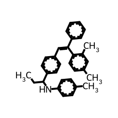 CCC(Nc1ccc(C)cc1)c1ccc(C=C(c2ccccc2)c2ccc(C)cc2C)cc1